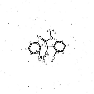 C=NC(C(=O)ON)(c1ccccc1O)c1ccccc1O